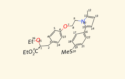 CCOC(=O)[C@H](Cc1ccc(OCCn2c(C)ccc2-c2ccc(SC)cc2)cc1)OCC